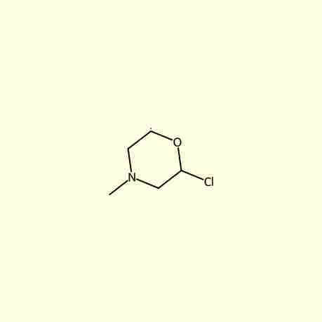 CN1C[CH]OC(Cl)C1